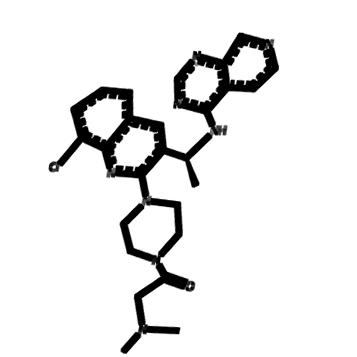 C[C@H](Nc1ncnc2cnccc12)c1cc2cccc(Cl)c2nc1N1CCN(C(=O)CN(C)C)CC1